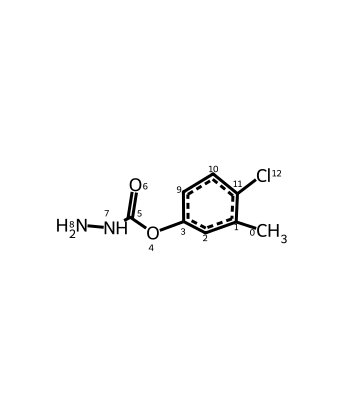 Cc1cc(OC(=O)NN)ccc1Cl